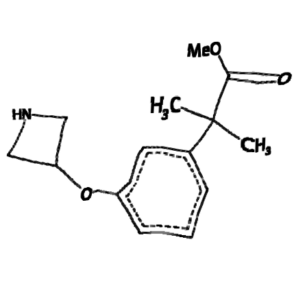 COC(=O)C(C)(C)c1cccc(OC2CNC2)c1